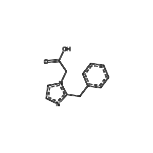 O=C(O)Cn1ccnc1Cc1ccccc1